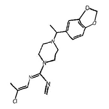 C=N/C(=N\C=C(/C)Cl)N1CCN(C(C)c2ccc3c(c2)OCO3)CC1